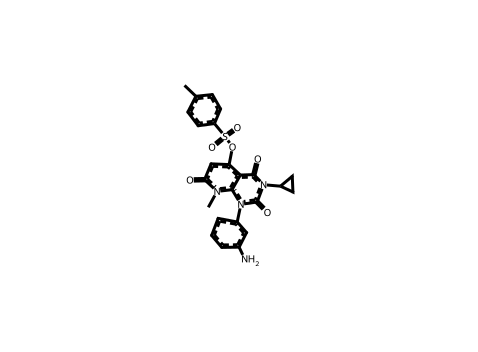 Cc1ccc(S(=O)(=O)Oc2cc(=O)n(C)c3c2c(=O)n(C2CC2)c(=O)n3-c2cccc(N)c2)cc1